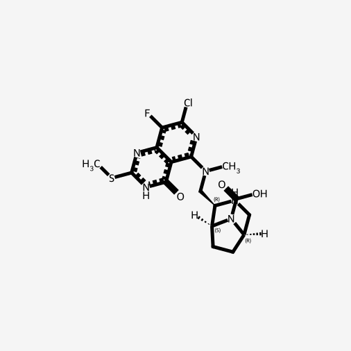 CSc1nc2c(F)c(Cl)nc(N(C)C[C@H]3NC[C@H]4CC[C@@H]3N4C(=O)O)c2c(=O)[nH]1